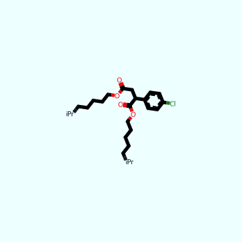 CC(C)CCCCCOC(=O)CC(C(=O)OCCCCCC(C)C)c1ccc(Cl)cc1